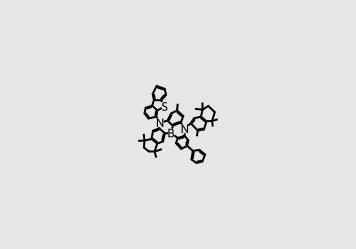 Cc1cc2c3c(c1)N(c1cccc4c1sc1ccccc14)c1cc4c(cc1B3c1ccc(-c3ccccc3)cc1N2c1cc2c(cc1C)C(C)(C)CCC2(C)C)C(C)(C)CCC4(C)C